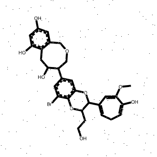 COC1=CC(C2Oc3cc(C4COCc5cc(O)cc(O)c5CC4O)cc(Br)c3OC2CCO)=CCC=C1O